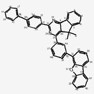 CC1(C)c2ccccc2-c2nc(-c3ccc(-c4ccccc4)cc3)nc(-c3cccc(-c4cccc5c4oc4ccccc45)c3)c21